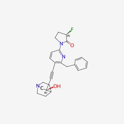 O=C1[C@H](F)CCN1c1ccc(C#C[C@@]2(O)CN3CCC2CC3)c(Cc2ccccc2)n1